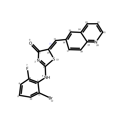 O=C1N=C(Nc2c(F)cccc2Br)S/C1=C\c1ccc2ncccc2c1